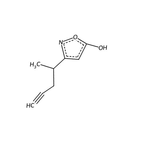 C#CCC(C)c1cc(O)on1